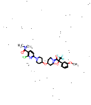 COc1cccc(C(O)(C(=O)N2CCC(OC3CCN(c4ccc(C(=O)N(C)C)c(Cl)n4)CC3)CC2)C(F)(F)F)c1